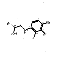 CC(C)[C@@H](O)CNc1ccc(Br)c(F)c1F